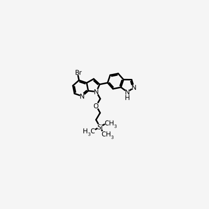 C[Si](C)(C)CCOCn1c(-c2ccc3cn[nH]c3c2)cc2c(Br)ccnc21